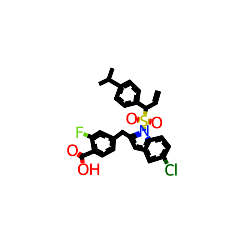 C=CC(c1ccc(C(C)C)cc1)S(=O)(=O)n1c(Cc2ccc(C(=O)O)c(F)c2)cc2cc(Cl)ccc21